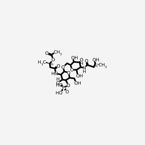 CC(=O)O[C@H](C)CC(=O)NC1C(OCC2OC(O)C(NC(=O)C[C@@H](C)O)C(O)C2O)OC(CO)C(OP(=O)(O)O)C1O